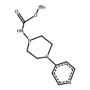 CC(C)(C)OC(=O)NN1CCN(c2ccncc2)CC1